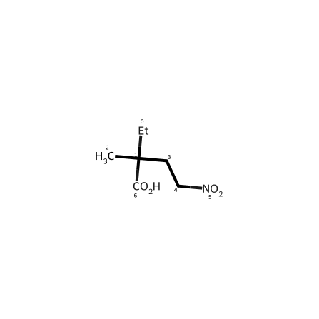 CCC(C)(CC[N+](=O)[O-])C(=O)O